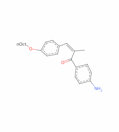 CCCCCCCCOc1ccc(C=C(C)C(=O)c2ccc(N)cc2)cc1